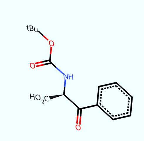 CC(C)(C)OC(=O)N[C@H](C(=O)O)C(=O)c1ccccc1